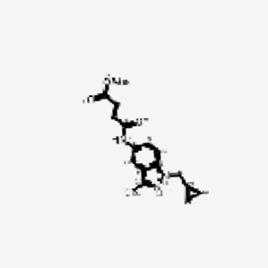 COC(=O)CCC(=O)Nc1ccc2c(c1)c(Cl)nn2CC1CC1